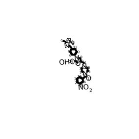 Cc1nc(-c2ccc(N3CC(CN4CCN(C(=O)c5cccc([N+](=O)[O-])c5)CC4)OC3C=O)cc2)no1